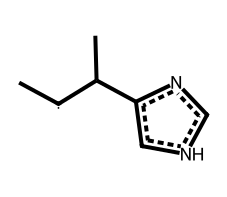 C[CH]C(C)c1c[nH]cn1